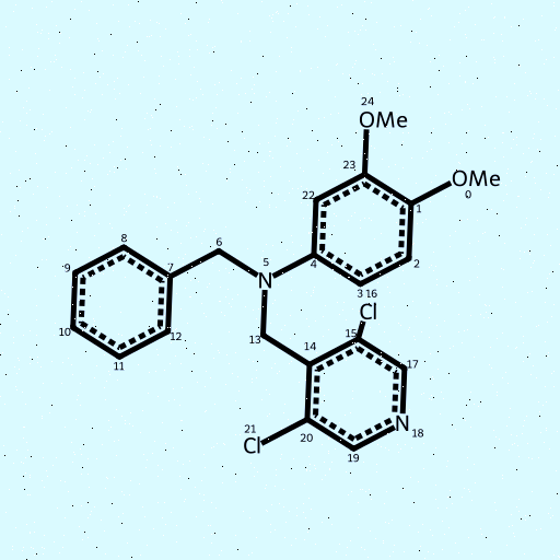 COc1ccc(N(Cc2ccccc2)Cc2c(Cl)cncc2Cl)cc1OC